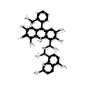 Cc1ccc2c(C)ccc(C(C)NC(C)c3c(O)c(C)cc4c(-c5ccccc5C(=O)O)c5cc(Cl)c(=O)c(C)c-5[nH]c34)c2n1